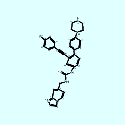 O=C(NCc1ccn2ccnc2c1)Nc1ccc(-c2ccc(N3CCNCC3)cc2)c(C#Cc2ccc(F)cc2)c1